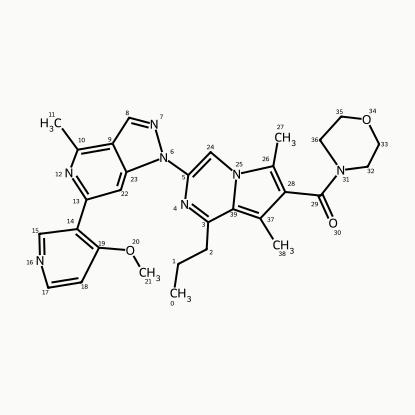 CCCc1nc(-n2ncc3c(C)nc(-c4cnccc4OC)cc32)cn2c(C)c(C(=O)N3CCOCC3)c(C)c12